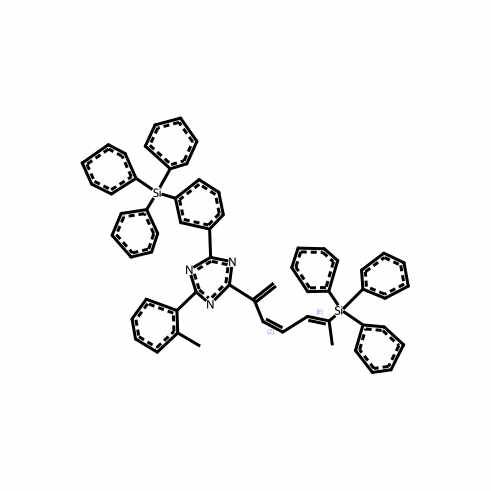 C=C(/C=C\C=C(/C)[Si](c1ccccc1)(c1ccccc1)c1ccccc1)c1nc(-c2cccc([Si](c3ccccc3)(c3ccccc3)c3ccccc3)c2)nc(-c2ccccc2C)n1